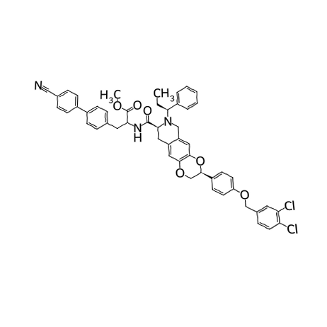 CC[C@@H](c1ccccc1)N1Cc2cc3c(cc2C[C@H]1C(=O)NC(Cc1ccc(-c2ccc(C#N)cc2)cc1)C(=O)OC)OC[C@H](c1ccc(OCc2ccc(Cl)c(Cl)c2)cc1)O3